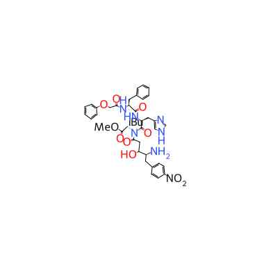 CC[C@H](C)[C@@H](C(=O)OC)N(C(=O)CC(O)[C@@H](N)Cc1ccc([N+](=O)[O-])cc1)C(=O)[C@H](Cc1c[nH]cn1)NC(=O)[C@H](Cc1ccccc1)NC(=O)COc1ccccc1